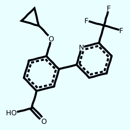 O=C(O)c1ccc(OC2CC2)c(-c2cccc(C(F)(F)F)n2)c1